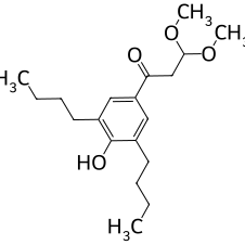 CCCCc1cc(C(=O)CC(OC)OC)cc(CCCC)c1O